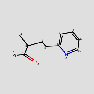 CC(C)C(=O)C(C)CCc1ccccn1